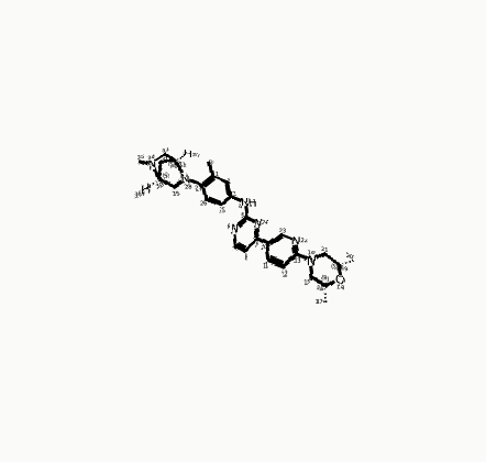 Cc1cc(Nc2nccc(-c3ccc(N4C[C@@H](C)O[C@@H](C)C4)nc3)n2)ccc1N1C[C@@H]2C[C@H]1CN2C